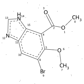 COC(=O)c1c(OC)c(Br)cc2nc[nH]c12